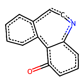 O=c1cccc2nccc3ccccc3c1-2